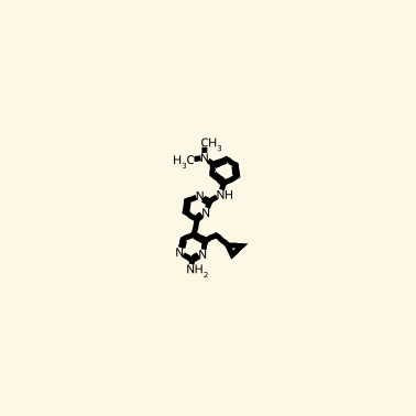 CN(C)c1cccc(Nc2nccc(-c3cnc(N)nc3CC3CC3)n2)c1